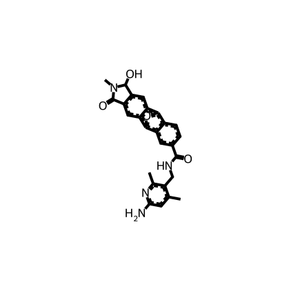 Cc1cc(N)nc(C)c1CNC(=O)c1ccc2c(c1)c1oc2c2cc3c(cc21)C(=O)N(C)C3O